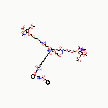 CC(=O)NC1C(OC(C)=O)CC(COC(C)=O)OC1OCCOCCOCCNOCCCOCC(COCCC=O)(COCCC(=O)NCCOCCOCCOC1OC(COC(C)=O)C(OC(C)=O)C(OC(C)=O)C1NC(C)=O)NC(=O)CCCCCCCCCCC(=O)NCCOC1(OCCNC(=O)OCc2ccccc2)CCCCC1